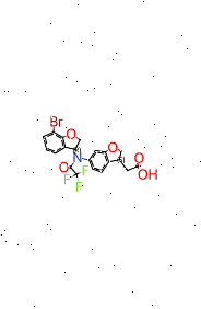 O=C(O)C[C@@H]1COc2cc(N(C(=O)C(F)(F)F)[C@H]3COc4c(Br)cccc43)ccc21